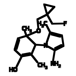 CC1=C(O)C=CC(C)(OCC2(CF)CC2)C1n1c(C)ccc1N